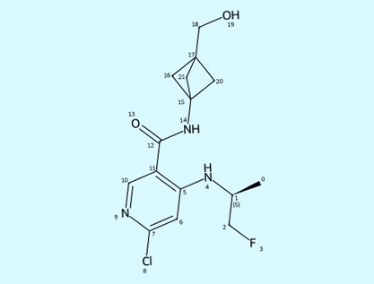 C[C@@H](CF)Nc1cc(Cl)ncc1C(=O)NC12CC(CO)(C1)C2